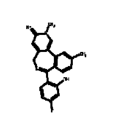 Cc1ccc2c(c1)-c1cn(C)c(=P)cc1CN=C2c1ccc(F)cc1O